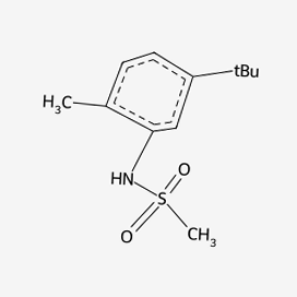 Cc1ccc(C(C)(C)C)cc1NS(C)(=O)=O